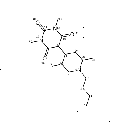 CCCCN1CC(C)C(C2C(=O)N(C)C(=O)N(C)C2=O)CC1C